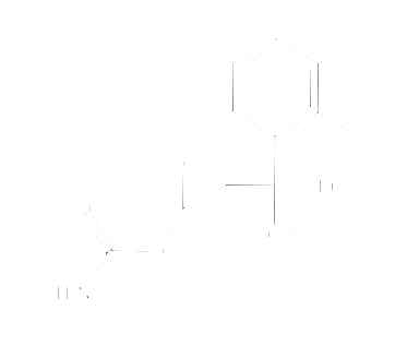 CC[C@@](O)(c1ccccc1I)[C@H]1CC1OC(N)=O